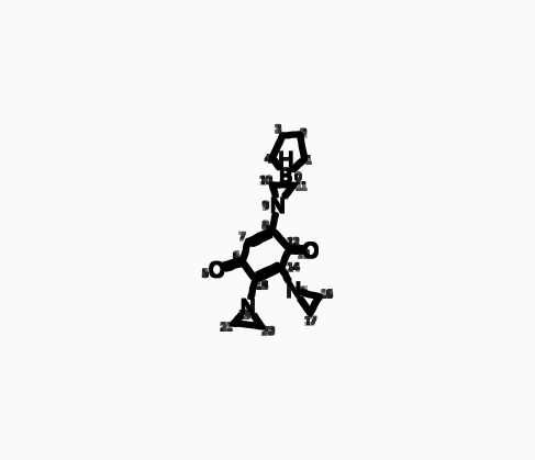 B1CCCC1.O=C1C=C(N2CC2)C(=O)C(N2CC2)=C1N1CC1